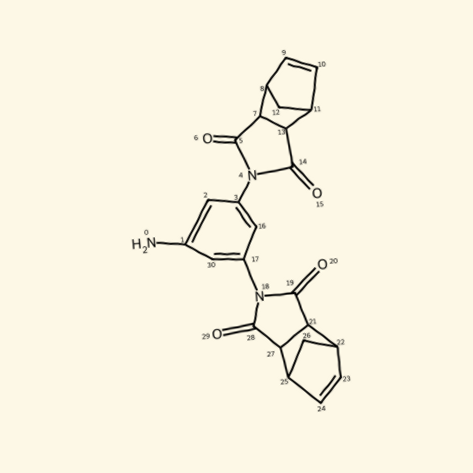 Nc1cc(N2C(=O)C3C4C=CC(C4)C3C2=O)cc(N2C(=O)C3C4C=CC(C4)C3C2=O)c1